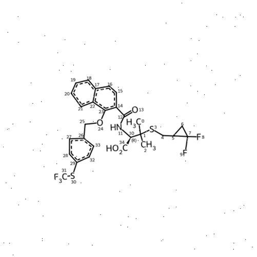 CC(C)(SCC1CC1(F)F)[C@H](NC(=O)c1ccc2ccccc2c1OCc1ccc(SC(F)(F)F)cc1)C(=O)O